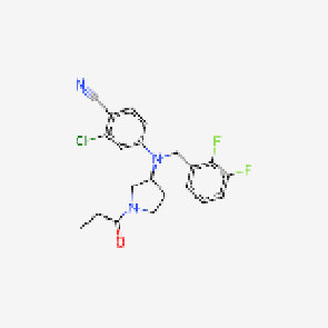 CCC(=O)N1CC[C@H](N(Cc2cccc(F)c2F)c2ccc(C#N)c(Cl)c2)C1